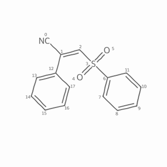 N#C/C(=C/S(=O)(=O)c1ccccc1)c1ccccc1